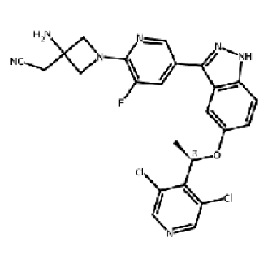 C[C@@H](Oc1ccc2[nH]nc(-c3cnc(N4CC(N)(CC#N)C4)c(F)c3)c2c1)c1c(Cl)cncc1Cl